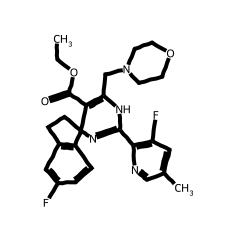 CCOC(=O)C1=C(CN2CCOCC2)NC(c2ncc(C)cc2F)=NC12CCc1cc(F)ccc12